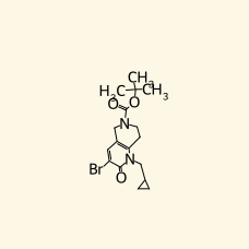 CC(C)(C)OC(=O)N1CCc2c(cc(Br)c(=O)n2CC2CC2)C1